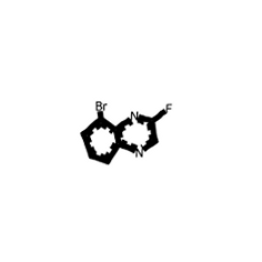 Fc1cnc2cccc(Br)c2n1